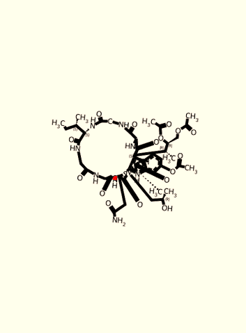 CC[C@H](C)[C@@H]1NC(=O)CNC(=O)C2Cc3c([nH]c4cc(OC(C)=O)ccc34)SCC(NC(=O)CNC1=O)C(=O)NC(CC(N)=O)C(=O)N(C[C@@H](C)O)[C@@H](C)C(=O)N[C@@H]([C@@H](C)[C@H](COC(C)=O)OC(C)=O)C(=O)N2